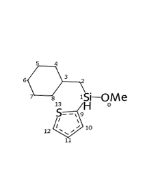 CO[SiH](CC1CCCCC1)c1cccs1